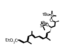 CCOC(=O)C=CC(C)=CC(C)=CC=CC(C)=CC[C@@H](C[C@H](C)O[Si](C)(C)C(C)(C)C)O[Si](C)(C)C(C)(C)C